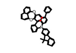 CC1(C)c2ccccc2-c2ccc(N(c3ccc(-c4ccccc4)cc3)c3ccccc3-c3cccc4c3Oc3cccc5cccc(c35)O4)cc21